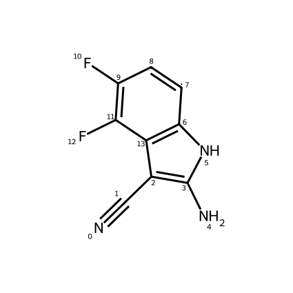 N#Cc1c(N)[nH]c2[c]cc(F)c(F)c12